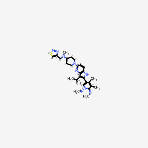 C=Nn1cc(-c2[nH]c3ccc(N4CCC(N(C)Cc5csnn5)CC4)nc3c2C(C)C)c(C)c(C)/c1=N/C